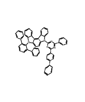 c1ccc(-c2ccc(-c3nc(-c4ccccc4)nc(-n4c5ccccc5c5c6c7ccccc7n(-c7c(-c8ccccc8)cccc7-c7ccccc7)c6ccc54)n3)cc2)cc1